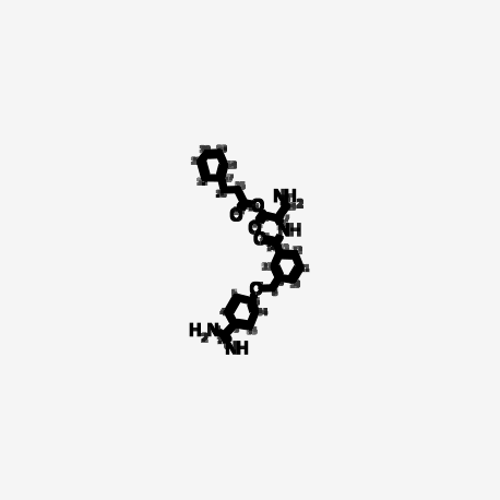 N=C(N)c1ccc(OCc2cccc(C(=O)NC(CN)C(=O)OC(=O)CCc3ccccc3)c2)cc1